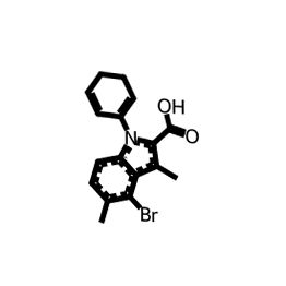 Cc1ccc2c(c(C)c(C(=O)O)n2C2=CCCC=C2)c1Br